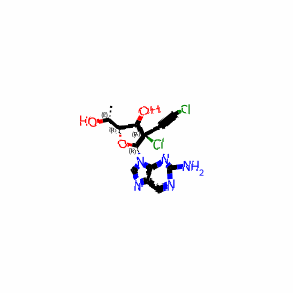 C[C@@H](O)[C@H]1O[C@@H](n2cnc3cnc(N)nc32)[C@@](Cl)(C#CCl)C1O